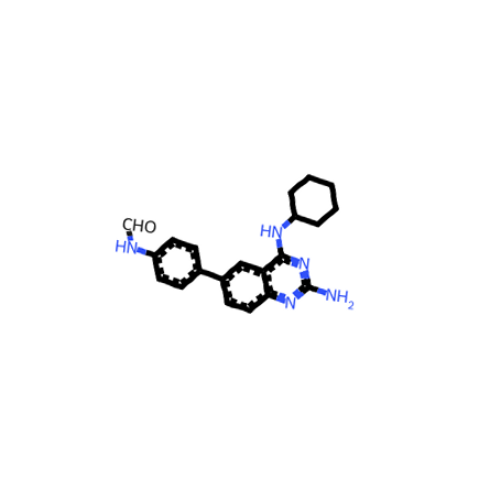 Nc1nc(NC2CCCCC2)c2cc(-c3ccc(NC=O)cc3)ccc2n1